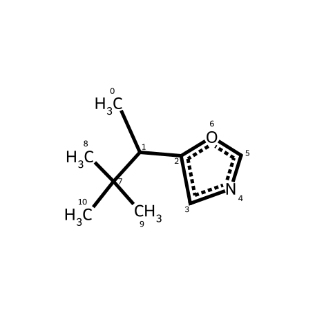 CC(c1cnco1)C(C)(C)C